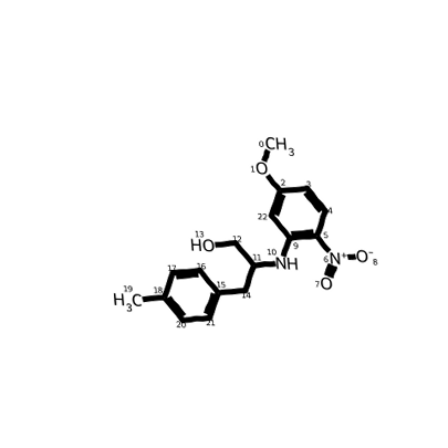 COc1ccc([N+](=O)[O-])c(NC(CO)Cc2ccc(C)cc2)c1